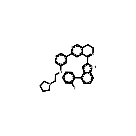 Fc1ccccc1-c1cccc2[nH]c(C3=NCCc4cnc(-c5cncc(OCCN6CCCC6)c5)cc43)cc12